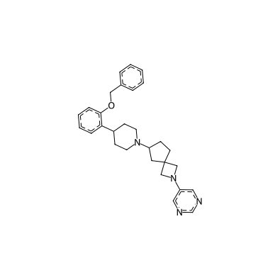 c1ccc(COc2ccccc2C2CCN(C3CCC4(C3)CN(c3cncnc3)C4)CC2)cc1